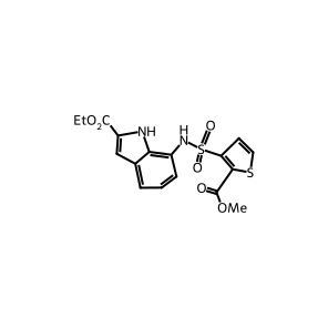 CCOC(=O)c1cc2cccc(NS(=O)(=O)c3ccsc3C(=O)OC)c2[nH]1